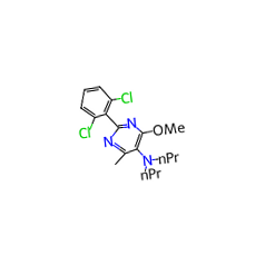 CCCN(CCC)c1c(C)nc(-c2c(Cl)cccc2Cl)nc1OC